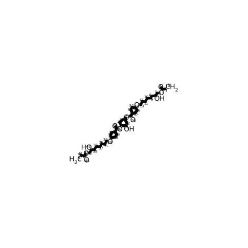 C=CC(=O)OCC(O)CCCCCCOc1ccc(C(=O)Oc2ccc(OC(=O)c3ccc(OCCCCCCC(O)COC(=O)C=C)cc3)c(O)c2)cc1